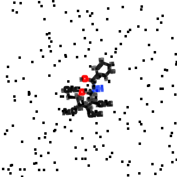 CC(=O)OC[C@H]1O[C@@H](NC(=O)c2ccccc2)[C@@H](OC(C)=O)[C@@H](OC(C)=O)[C@@H]1OC(C)=O